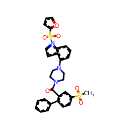 CS(=O)(=O)c1ccc(-c2ccccc2)c(C(=O)N2CCN(c3cccc4c3ccn4S(=O)(=O)c3ccco3)CC2)c1